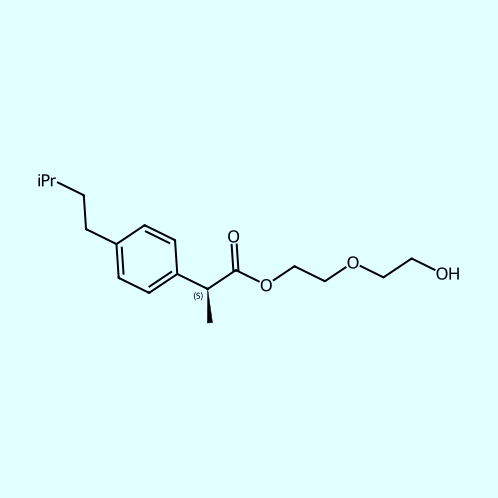 CC(C)CCc1ccc([C@H](C)C(=O)OCCOCCO)cc1